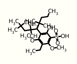 CCCC(C)(C)C(c1c(O)c(S(=O)(=O)O)c(OC)c(CC)c1OC)C(C)(C)CC(C)(C)C